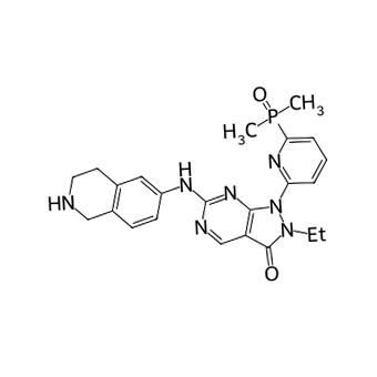 CCn1c(=O)c2cnc(Nc3ccc4c(c3)CCNC4)nc2n1-c1cccc(P(C)(C)=O)n1